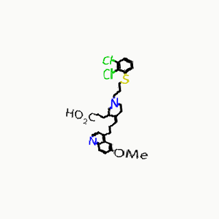 COc1ccc2nccc(CCCC3CCN(CCCSc4cccc(Cl)c4Cl)CC3CCC(=O)O)c2c1